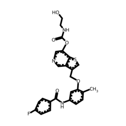 Cc1ccc(NC(=O)c2ccc(F)cc2)cc1OCc1csc2c(OC(=O)NCCO)cncc12